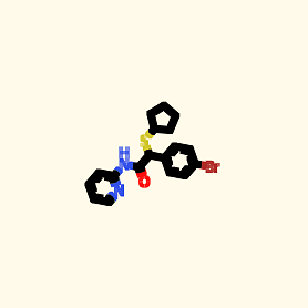 O=C(Nc1ccccn1)C(SC1CCCC1)c1ccc(Br)cc1